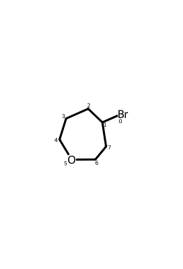 BrC1CCCOCC1